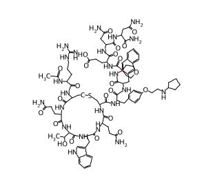 CC(=O)NC(CCCNC(=N)N)C(=O)NC1CCSCC(C(=O)NC(Cc2ccc(OCCNC3CCCC3)cc2)C(=O)NC(Cc2ccc3ccccc3c2)C(=O)NC2(C(=O)NC(CCC(=O)O)C(=O)NC(CC(N)=O)C(=O)NC(CC(N)=O)C(N)=O)CCOCC2)NC(=O)C(CCC(N)=O)NC(=O)C(Cc2c[nH]c3ccccc23)NC(=O)C(C(C)O)NC(=O)C(CCC(N)=O)NC1=O